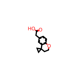 O=C(O)Cc1ccc2c(c1)C1(CCO2)CC1